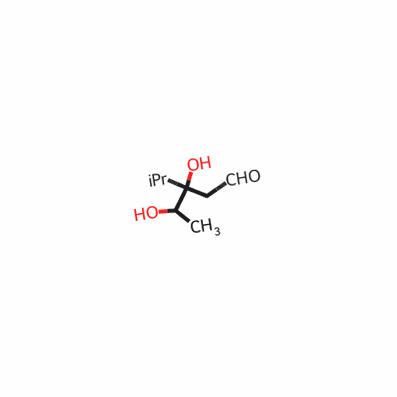 CC(C)C(O)(CC=O)C(C)O